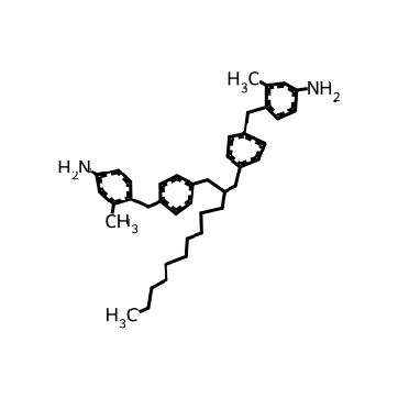 CCCCCCCCCCC(Cc1ccc(Cc2ccc(N)cc2C)cc1)Cc1ccc(Cc2ccc(N)cc2C)cc1